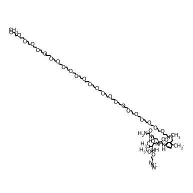 [CH2]c1ccc(NC(=O)[C@H](CCCNC(N)=O)NC(=O)[C@@H](NC(=O)OCCN=[N+]=[N-])C(C)C)cc1CN(C)C(=O)CCOCCOCCOCCOCCOCCOCCOCCOCCOCCOCCOCCOCCOCCOCCOCCOCCOCCOCCOCCOCCOCCOCCOCCOC